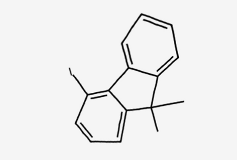 CC1(C)c2ccccc2-c2c(I)cccc21